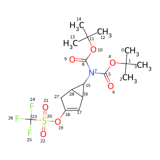 CC(C)(C)OC(=O)N(C(=O)OC(C)(C)C)C1C2C=C(OS(=O)(=O)C(F)(F)F)CC21